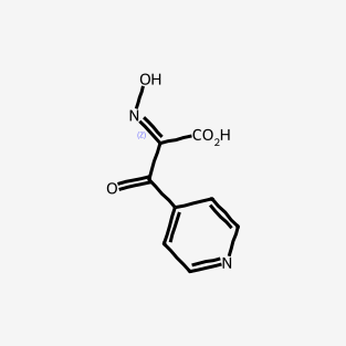 O=C(O)/C(=N\O)C(=O)c1ccncc1